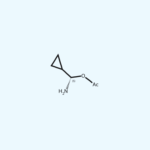 CC(=O)O[C@H](N)C1CC1